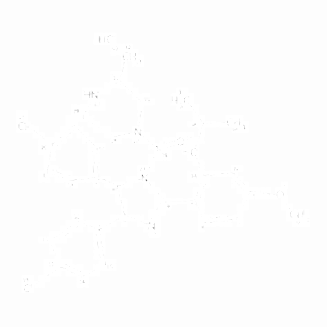 COc1ccc(C2=NC(c3ccc(Cl)cc3)C(c3ccc(Cl)cc3)N2C(=O)N2CCNC(C)C2)c(OC(C)C)c1.Cl